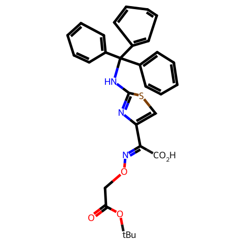 CC(C)(C)OC(=O)CON=C(C(=O)O)c1csc(NC(c2ccccc2)(c2ccccc2)c2ccccc2)n1